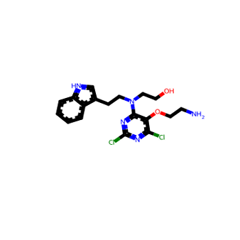 NCCOc1c(Cl)nc(Cl)nc1N(CCO)CCc1c[nH]c2ccccc12